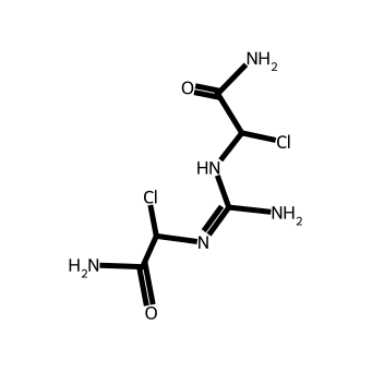 NC(=O)C(Cl)N=C(N)NC(Cl)C(N)=O